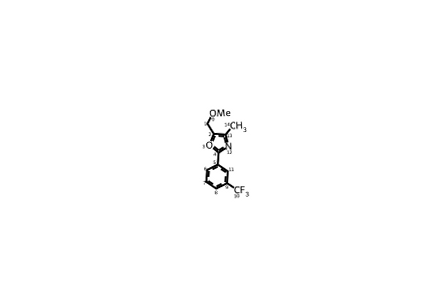 COCc1oc(-c2cccc(C(F)(F)F)c2)nc1C